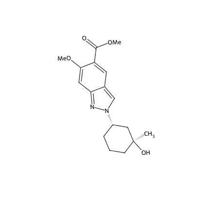 COC(=O)c1cc2cn([C@H]3CCC[C@](C)(O)C3)nc2cc1OC